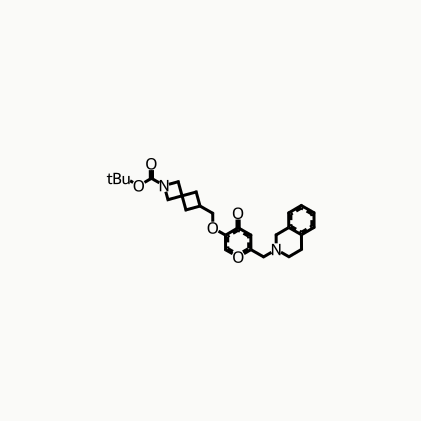 CC(C)(C)OC(=O)N1CC2(CC(COc3coc(CN4CCc5ccccc5C4)cc3=O)C2)C1